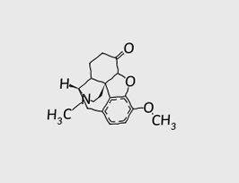 COc1ccc2c3c1OC1C(=O)CCC4[C@@H](C2)N(C)CC[C@]314